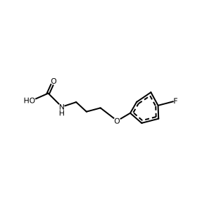 O=C(O)NCCCOc1ccc(F)cc1